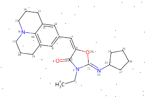 CCN1C(=O)/C(=C\c2cc3c4c(c2)CCCN4CCC3)OC1=NC1CCCC1